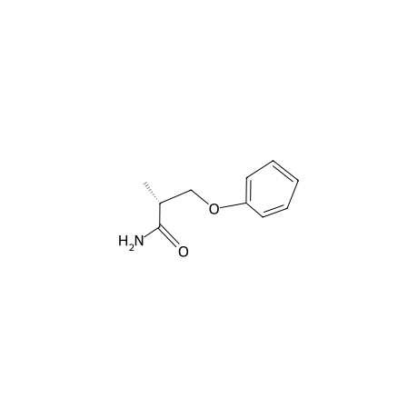 C[C@H](COc1ccccc1)C(N)=O